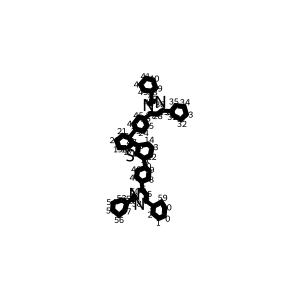 c1ccc(-c2cc(-c3ccc(-c4cccc5c4sc4cccc(-c6ccc(-c7cc(-c8ccccc8)nc(-c8ccccc8)n7)cc6)c45)cc3)nc(-c3ccccc3)n2)cc1